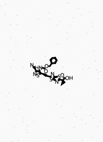 N#Cc1nsc(C#Cc2nc3sc(C4(C(=O)O)CC4)nc3s2)c1NC(=O)OCc1ccccc1